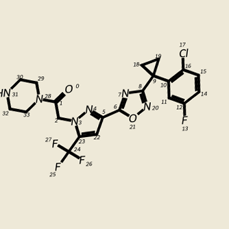 O=C(Cn1nc(-c2nc(C3(c4cc(F)ccc4Cl)CC3)no2)cc1C(F)(F)F)N1CCNCC1